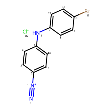 N#[N+]c1ccc(Nc2ccc(Br)cc2)cc1.[Cl-]